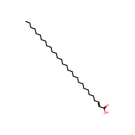 CCCCCCCCCCCCCCCCCCCCCCCCCCC/C=C/C(=O)O